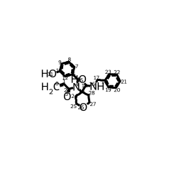 C=CC(=O)N(Cc1cccc(O)c1)C1(C(O)NCc2ccccc2)CCOCC1